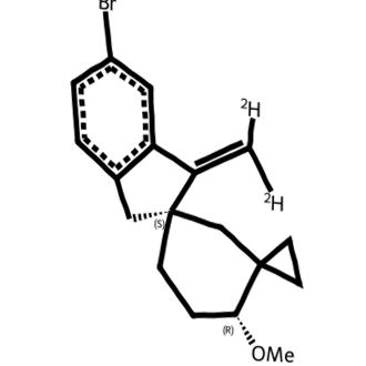 [2H]C([2H])=C1c2cc(Br)ccc2C[C@]12CC[C@@H](OC)C1(CC1)C2